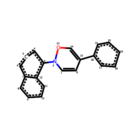 C1=CN(c2cccc3ccccc23)OC=C1c1ccccc1